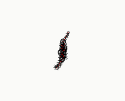 CCCCCCCCOc1ccc(-c2ncc(OC(=O)c3ccc(OCCCCCCC4CC4)c(F)c3F)cn2)cc1